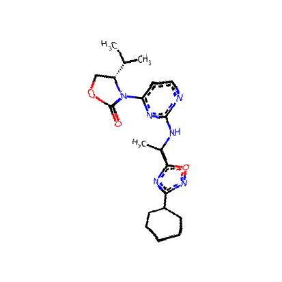 CC(Nc1nccc(N2C(=O)OC[C@@H]2C(C)C)n1)c1nc(C2CCCCC2)no1